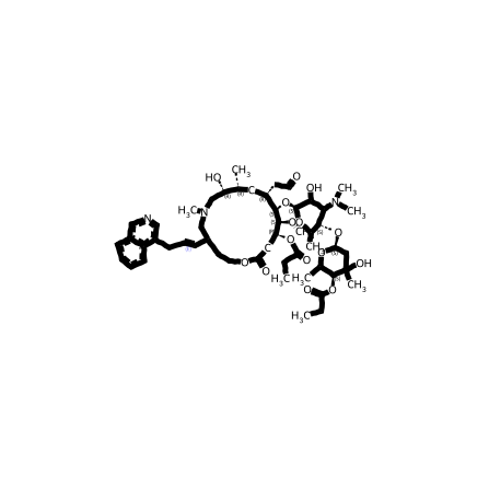 CCC(=O)O[C@@H]1CC(=O)OCCC(/C=C/Cc2cncc3ccccc23)CN(C)C[C@H](O)[C@H](C)C[C@H](CC=O)[C@H](O[C@@H]2OC(C)[C@@H](O[C@H]3CC(C)(O)[C@@H](OC(=O)CC)C(C)O3)C(N(C)C)C2O)[C@H]1OC